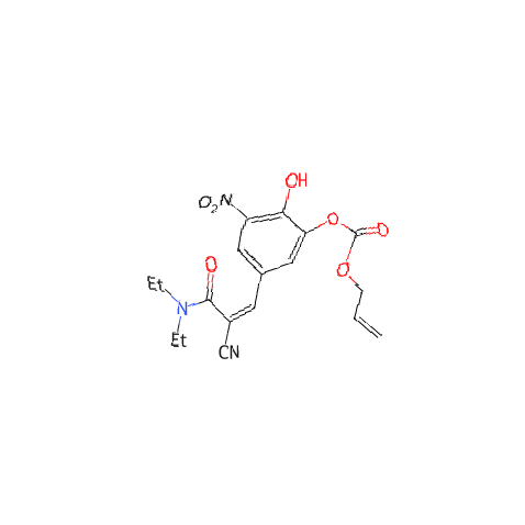 C=CCOC(=O)Oc1cc(C=C(C#N)C(=O)N(CC)CC)cc([N+](=O)[O-])c1O